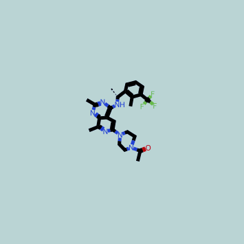 CC(=O)N1CCN(c2cc3c(N[C@H](C)c4cccc(C(F)(F)F)c4C)nc(C)nc3c(C)n2)CC1